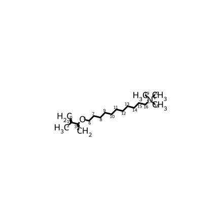 C=C(C)C(=C)OCCCCCCCCCCC[N+](C)(C)C